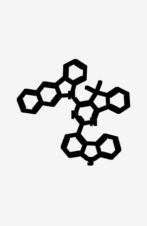 CC1(C)c2ccccc2-c2nc(-c3cccc4sc5ccccc5c34)nc(-n3c4ccccc4c4cc5ccccc5cc43)c21